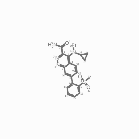 CCN(c1c(C(N)=O)nnc2cc(-c3ccccc3S(C)(=O)=O)ccc12)C1CC1